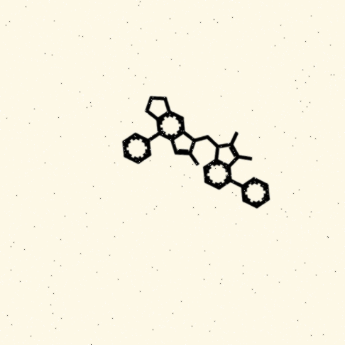 CC1=Cc2c(cc3c(c2-c2ccccc2)CCC3)C1CC1C(C)=C(C)c2c(-c3ccccc3)cccc21